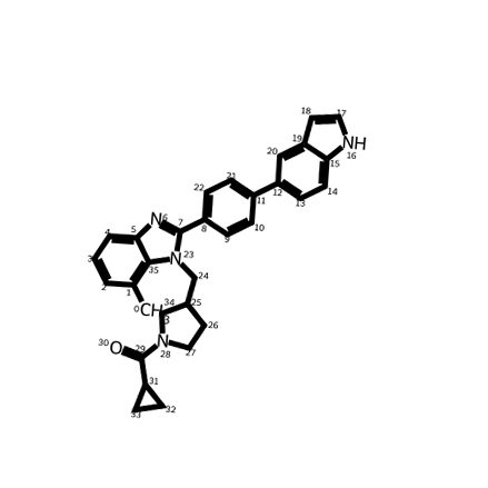 Cc1cccc2nc(-c3ccc(-c4ccc5[nH]ccc5c4)cc3)n(CC3CCN(C(=O)C4CC4)C3)c12